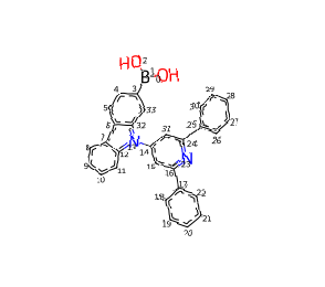 OB(O)c1ccc2c3ccccc3n(-c3cc(-c4ccccc4)nc(-c4ccccc4)c3)c2c1